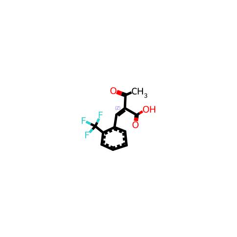 CC(=O)/C(=C/c1ccccc1C(F)(F)F)C(=O)O